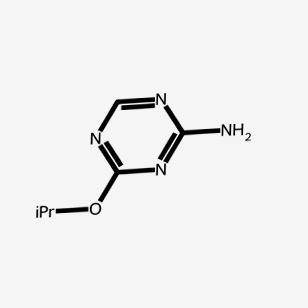 CC(C)Oc1ncnc(N)n1